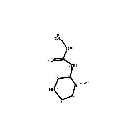 C[C@@H]1CCNC[C@H]1NC(=O)OC(C)(C)C